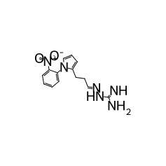 N=C(N)N/N=C/CCc1cccn1-c1ccccc1[N+](=O)[O-]